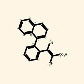 N#C/C(=C(/O)C(=O)O)c1ccccc1-c1cccc2ccccc12